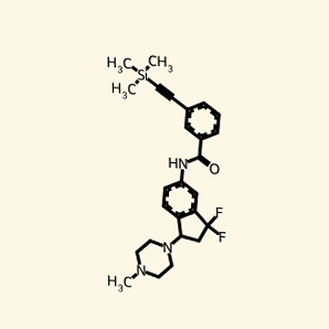 CN1CCN(C2CC(F)(F)c3cc(NC(=O)c4cccc(C#C[Si](C)(C)C)c4)ccc32)CC1